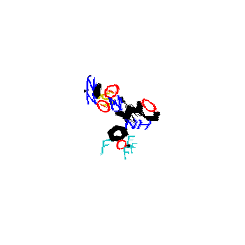 Cn1cnc(S(=O)(=O)N2C[C@H]([C@@H]3CCCOC3)[C@@H](Nc3ccc(F)c(OC(F)(F)F)c3)C2)c1